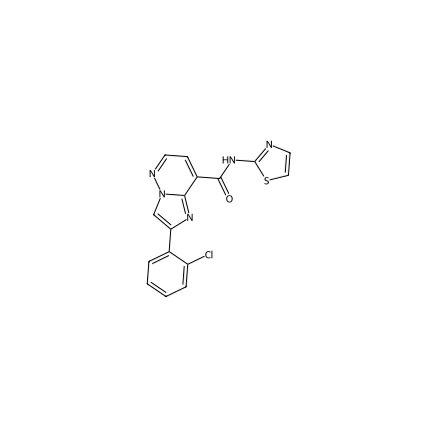 O=C(Nc1nccs1)c1ccnn2cc(-c3ccccc3Cl)nc12